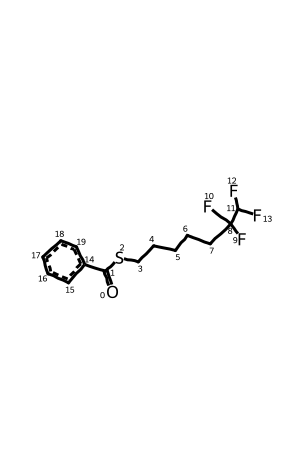 O=C(SCCCCCC(F)(F)C(F)F)c1ccccc1